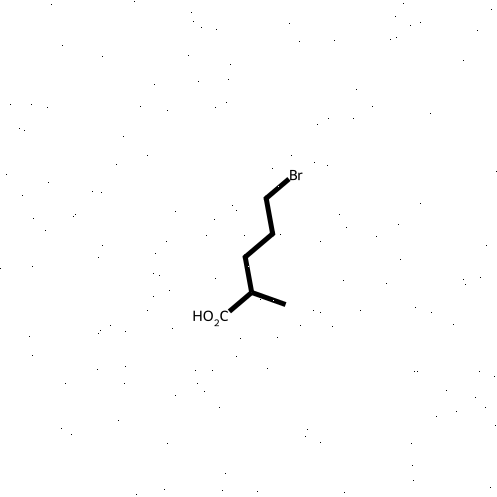 CC(CCCBr)C(=O)O